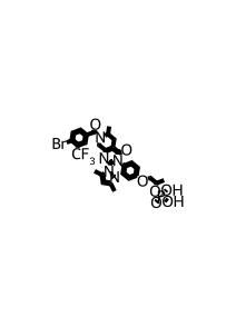 Cc1cc(C)n(-c2nc3c(c(=O)n2-c2ccc(OCC(C)OP(=O)(O)O)cc2)CC(C)N(C(=O)c2ccc(Br)c(C(F)(F)F)c2)C3)n1